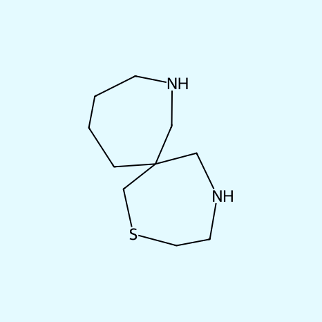 C1CCC2(CNC1)CNCCSC2